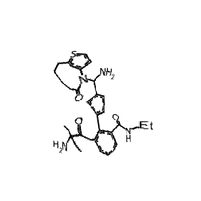 CCNC(=O)c1cccc(C(=O)C(C)(C)N)c1-c1ccc(C(N)N2C(=O)CCCc3sccc32)cc1